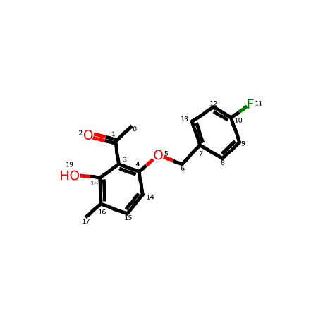 CC(=O)c1c(OCc2ccc(F)cc2)ccc(C)c1O